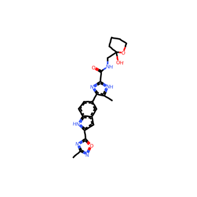 Cc1noc(-c2cc3cc(-c4nc(C(=O)NCC5(O)CCCCO5)[nH]c4C)ccc3[nH]2)n1